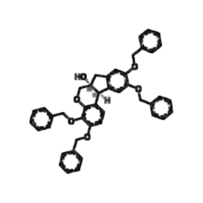 O[C@@]12COc3c(ccc(OCc4ccccc4)c3OCc3ccccc3)[C@@H]1c1cc(OCc3ccccc3)c(OCc3ccccc3)cc1C2